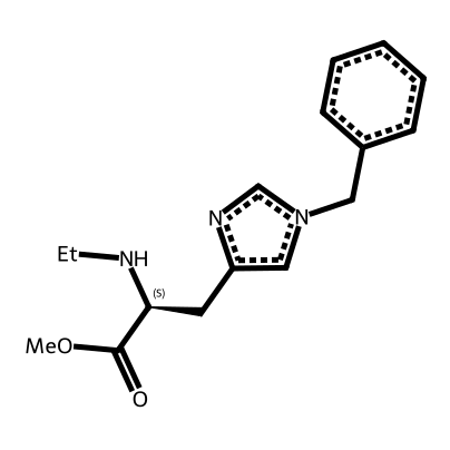 CCN[C@@H](Cc1cn(Cc2ccccc2)cn1)C(=O)OC